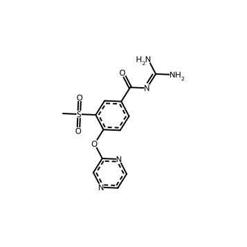 CS(=O)(=O)c1cc(C(=O)N=C(N)N)ccc1Oc1cnccn1